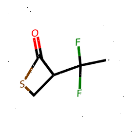 [CH2]C(F)(F)C1CSC1=O